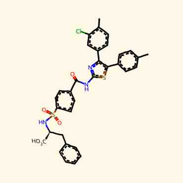 Cc1ccc(-c2sc(NC(=O)c3ccc(S(=O)(=O)N[C@@H](Cc4ccccc4)C(=O)O)cc3)nc2-c2ccc(C)c(Cl)c2)cc1